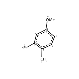 COc1ccc(C)c([C](C)C)c1